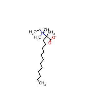 CCCCCCCCCCCCC(C)(C(=O)[O-])[N+](C)(C)CC